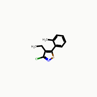 CCc1c(Cl)nsc1-c1ccccc1C